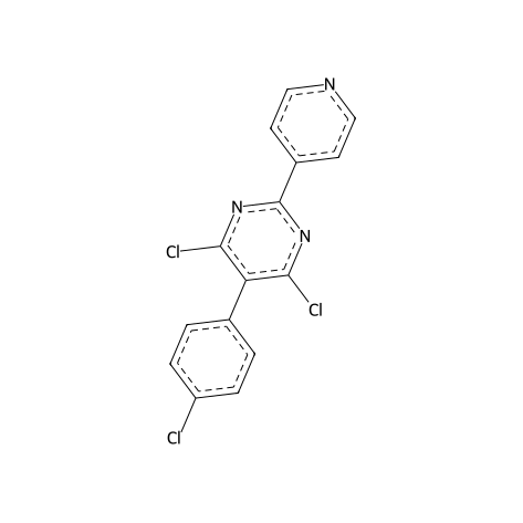 Clc1ccc(-c2c(Cl)nc(-c3ccncc3)nc2Cl)cc1